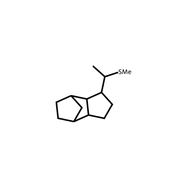 CSC(C)C1CCC2C3CCC(C3)C21